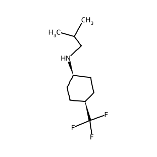 CC(C)CN[C@H]1CC[C@@H](C(F)(F)F)CC1